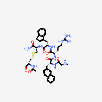 CNCC(=O)N[C@H](Cc1ccc2ccccc2c1)C(=O)N[C@@H](CCCNC(=N)N)C(=O)N[C@@H](CC1=CCc2ccccc21)C(=O)N[C@@H](CSSC[C@@H](C=O)NC(C)=O)C(N)=O